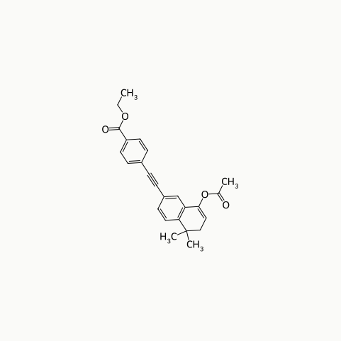 CCOC(=O)c1ccc(C#Cc2ccc3c(c2)C(OC(C)=O)=CCC3(C)C)cc1